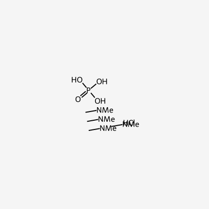 CNC.CNC.CNC.CNC.Cl.O=P(O)(O)O